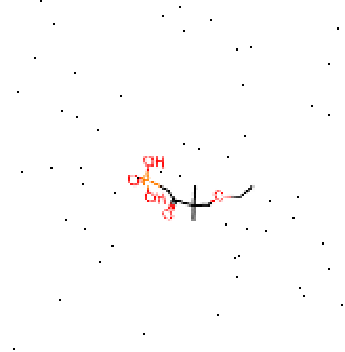 CCOCC(C)(C)C(=O)CP(=O)(O)O